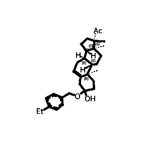 CCc1ccc(COC2(O)CC[C@@]3(C)C(=CC[C@@H]4[C@@H]3CC[C@@]3(C)[C@H]4CC[C@]3(C)C(C)=O)C2)cc1